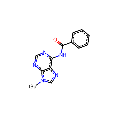 CC(C)(C)n1cnc2c(NC(=O)c3ccccc3)ncnc21